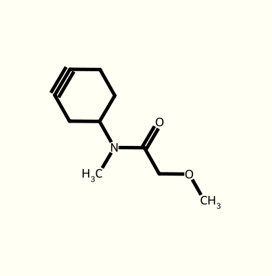 COCC(=O)N(C)C1CC#CCC1